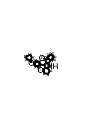 O=C1CCCC2=C1C(c1ccc(OC3CCCC3)cc1)C1=C(N2)c2ccccc2C1=O